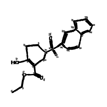 CCOC(=O)C1=C(O)CCN(S(=O)(=O)c2ccc3ccccc3c2)C1